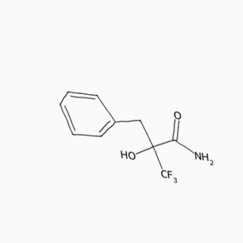 NC(=O)C(O)(Cc1ccccc1)C(F)(F)F